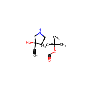 C#CC1(O)CCNC1.CC(C)(C)OC=O